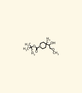 COCC(O)C1(C)CCN(C(=O)OC(C)(C)C)CC1